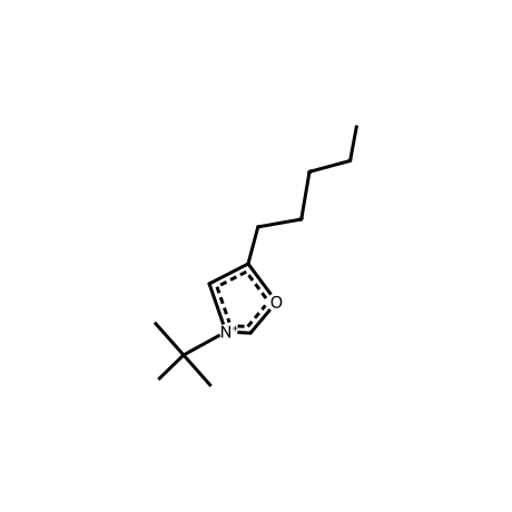 CCCCCc1c[n+](C(C)(C)C)co1